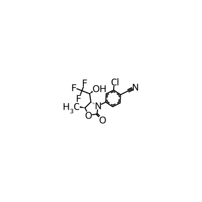 C[C@@H]1OC(=O)N(c2ccc(C#N)c(Cl)c2)[C@H]1[C@H](O)C(F)(F)F